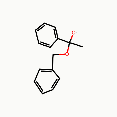 CC([O])(OCc1ccccc1)c1ccccc1